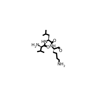 CC(C)C[C@H](NC(=O)[C@H](N)C(C)C)C(=O)N[C@H]([C]=O)CCCCN